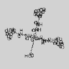 CC(=O)NC1C(C=O)[C@H](OC(C)=O)C(COC(C)=O)O[C@H]1OCCCCC(=O)NCCCNC(=O)CCOCC(COCCC(=O)NCCCNC(=O)CCCCO[C@@H]1OC(COC(C)=O)[C@@H](OC(C)=O)C(C=O)C1NC(C)=O)(COCCC(=O)NCCCNC(=O)CCCCO[C@@H]1OC(COC(C)=O)[C@@H](OC(C)=O)C(C=O)C1NC(C)=O)NC(=O)CCCCCCCCCCC(=O)O